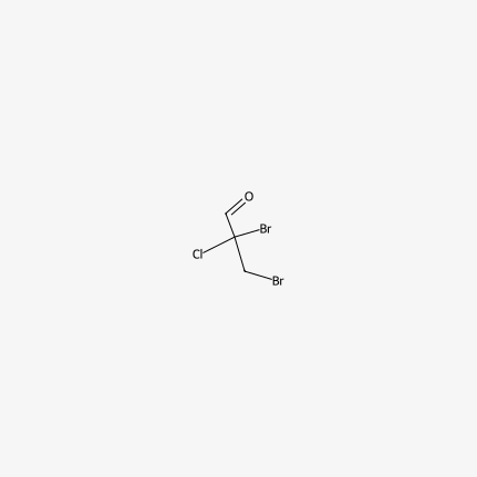 O=CC(Cl)(Br)CBr